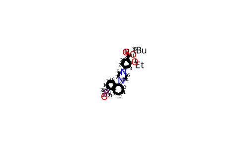 CCOc1cc(N2CCN(C3CCCCc4c3cccc4P(C)(C)=O)CC2)ccc1C(=O)OC(C)(C)C